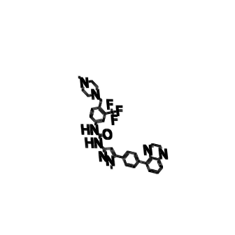 CN1CCN(Cc2ccc(NC(=O)Nc3cc(-c4ccc(-c5cccc6nccnc56)cc4)n(C)n3)cc2C(F)(F)F)CC1